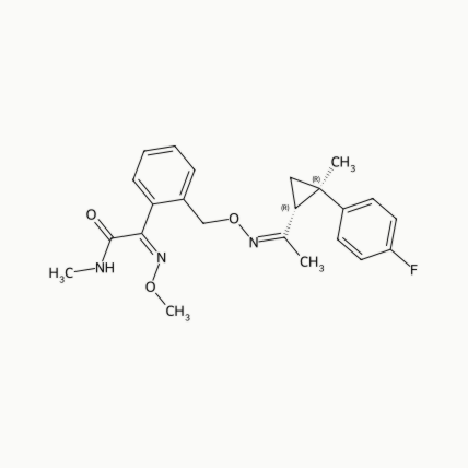 CNC(=O)C(=NOC)c1ccccc1CON=C(C)[C@@H]1C[C@@]1(C)c1ccc(F)cc1